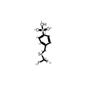 O=S(=O)(O)c1ccc(C[Se]C(F)F)cc1